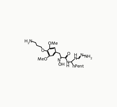 CCCCCC(NC=NN)NC(=O)C(Cc1cc(OC)c(OCCCN)c(OC)c1)=NO